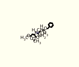 COC(=O)C=C(/N=C(\N)C(C)(C)NC(=O)OCc1ccccc1)C(=O)OC